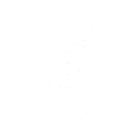 CCC(=O)N1CCC(n2c(=O)c(-c3ccccc3Cl)cc3cnc(Nc4ccc(N5CCN(C)CC5)c(C)c4)nc32)C1